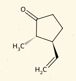 C=C[C@@H]1CCC(=O)[C@H]1C